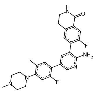 Cc1cc(-c2cnc(N)c(-c3cc4c(cc3F)C(=O)NCC4)c2)c(F)cc1N1CCN(C)CC1